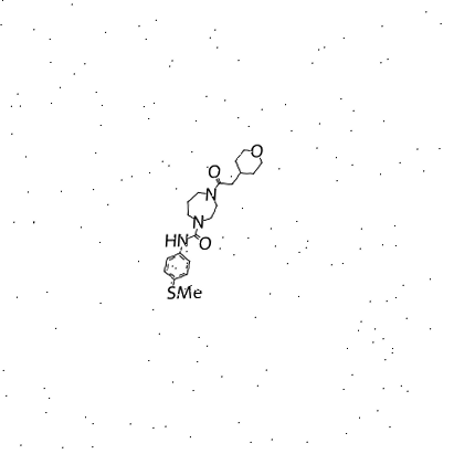 CSc1ccc(NC(=O)N2CCCN(C(=O)CC3CCOCC3)CC2)cc1